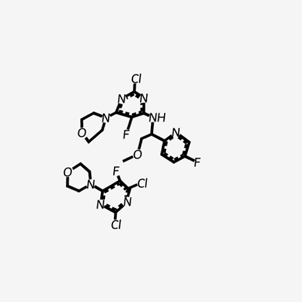 COCC(Nc1nc(Cl)nc(N2CCOCC2)c1F)c1ccc(F)cn1.Fc1c(Cl)nc(Cl)nc1N1CCOCC1